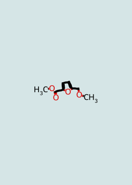 COCc1ccc(C(=O)OC)o1